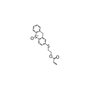 C=CC(=O)OCCSc1ccc2c(c1)Cc1ccccc1[S+]2[O-]